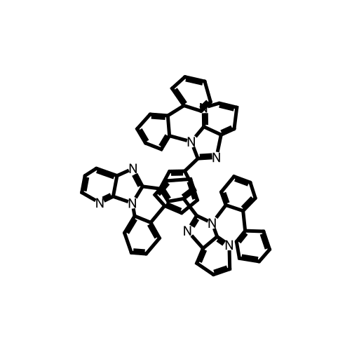 c1ccc(-c2ccccc2-n2c(-c3cc(-c4nc5cccnc5n4-c4ccccc4-c4ccccc4)cc(-c4nc5cccnc5n4-c4ccccc4-c4ccccc4)c3)nc3cccnc32)cc1